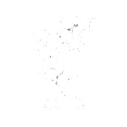 c1ccc(N(c2ccccc2)c2ccc3c4c(ccc3c2)-c2c(cc(N(c3ccccc3)c3ccccc3)c3c2ccc2c5ccccc5oc23)C42c3ccccc3-c3ccccc32)cc1